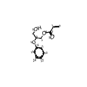 C=CC(=O)OCC(CO)Oc1ccccc1